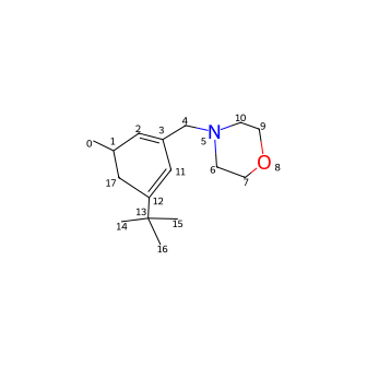 CC1C=C(CN2CCOCC2)C=C(C(C)(C)C)C1